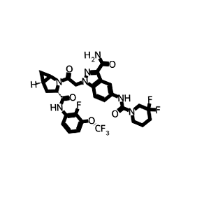 NC(=O)c1nn(CC(=O)N2C3C[C@@H]3C[C@H]2C(=O)Nc2cccc(OC(F)(F)F)c2F)c2ccc(NC(=O)N3CCCC(F)(F)C3)cc12